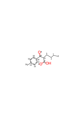 CCCCC(C(=O)O)C(=O)c1ccc(C)cc1